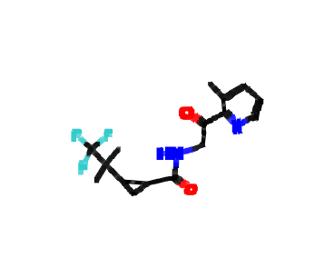 Cc1cccnc1C(=O)CNC(=O)C1CC1C(C)(C)C(F)(F)F